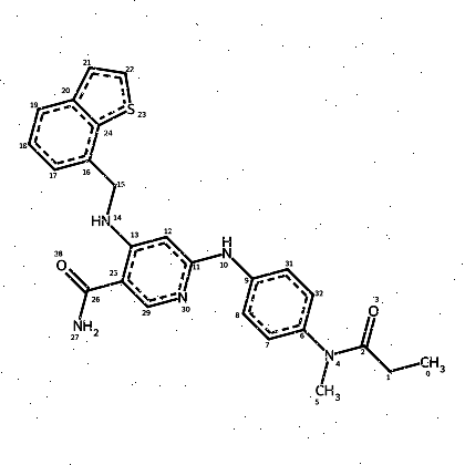 CCC(=O)N(C)c1ccc(Nc2cc(NCc3cccc4ccsc34)c(C(N)=O)cn2)cc1